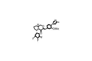 COc1cc(/C=C2\OC[C@H]3CCC[C@@H](c4cc(F)c(F)c(F)c4)N3C2=O)ccc1-n1cnc(C)c1